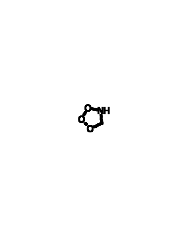 C1NOOO1